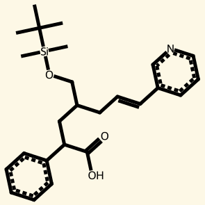 CC(C)(C)[Si](C)(C)OCC(CC=Cc1cccnc1)CC(C(=O)O)c1ccccc1